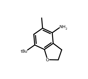 Cc1cc(C(C)(C)C)c2c(c1N)CCO2